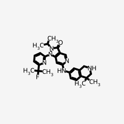 CC(C)n1c(=O)c2cnc(Nc3ccc4c(c3)CNCC4(C)C)cc2n1-c1cccc(C(C)(C)F)n1